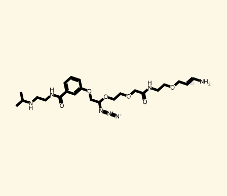 CC(C)NCCNC(=O)c1cccc(OCC(N=[N+]=[N-])OCCOCC(=O)NCCOC/C=C/N)c1